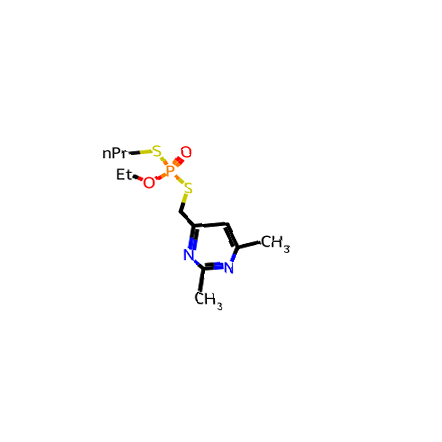 CCCSP(=O)(OCC)SCc1cc(C)nc(C)n1